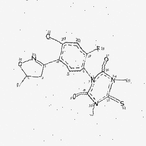 CC1CC(c2cc(-n3c(=O)n(C)c(=S)n(C)c3=O)c(F)cc2Cl)=NO1